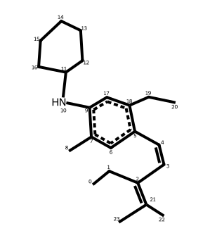 CCC(/C=C\c1cc(C)c(NC2CCCCC2)cc1CC)=C(C)C